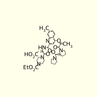 CCOC(=O)N1CCN(C(=O)[C@H](CC(=O)O)NC(=O)c2cc(O[C@H](C)C(=O)N3CCC[C@H]3C(=O)N3CCCC3)c3ccc(C)cc3n2)CC1